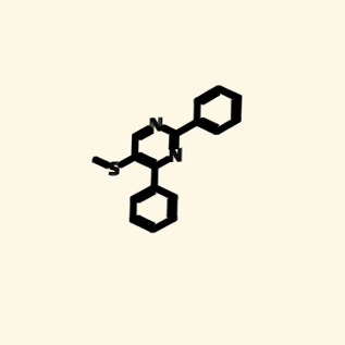 CSc1cnc(-c2ccccc2)nc1-c1ccccc1